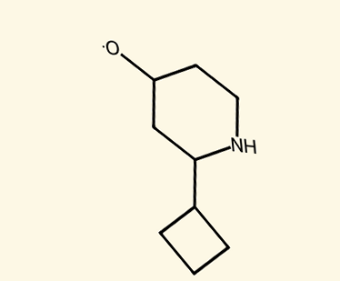 [O]C1CCNC(C2CCC2)C1